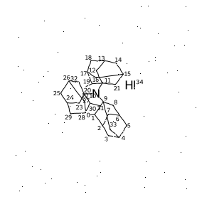 CC1C2CC3CC(C2)CC1(N(C12CC4CC(CC(C4)C1C)C2)C12CC4CC(CC(C4)C1C)C2)C3.I